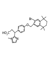 Cn1ccnc1C(CC(=O)O)c1ccc(OCc2cc3c(cc2Br)C(C)(C)CCC3(C)C)cc1